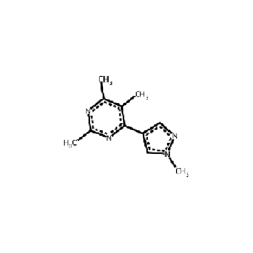 Cc1nc(C)c(C)c(-c2cnn(C)c2)n1